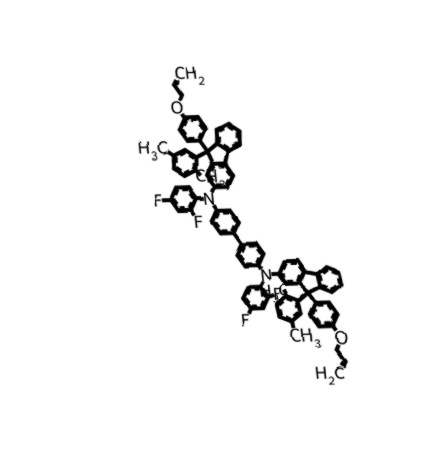 C=CCOc1ccc(C2(c3cc(C)ccc3C)c3ccccc3-c3ccc(N(c4ccc(-c5ccc(N(c6ccc7c(c6)C(c6ccc(OCC=C)cc6)(c6cc(C)ccc6C)c6ccccc6-7)c6ccc(F)cc6F)cc5)cc4)c4ccc(F)cc4F)cc32)cc1